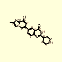 Cc1cn2cc(-c3ccc4nc(C5CCNCC5)[nH]c(=O)c4c3)cc(Cl)c2n1